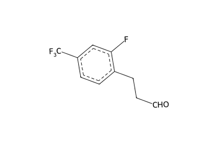 O=CCCc1ccc(C(F)(F)F)cc1F